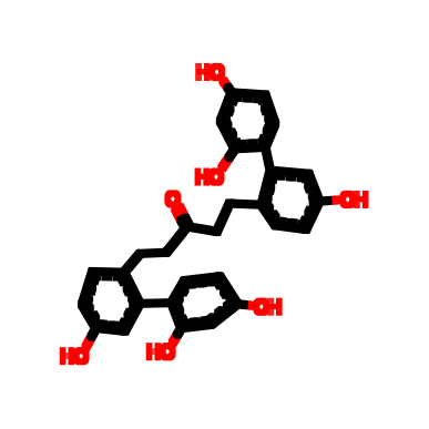 O=C(CCc1ccc(O)cc1-c1ccc(O)cc1O)CCc1ccc(O)cc1-c1ccc(O)cc1O